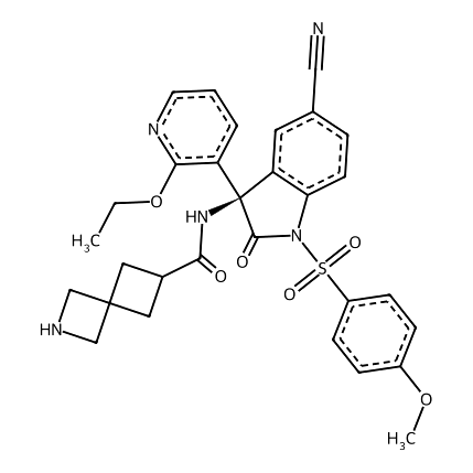 CCOc1ncccc1[C@@]1(NC(=O)C2CC3(CNC3)C2)C(=O)N(S(=O)(=O)c2ccc(OC)cc2)c2ccc(C#N)cc21